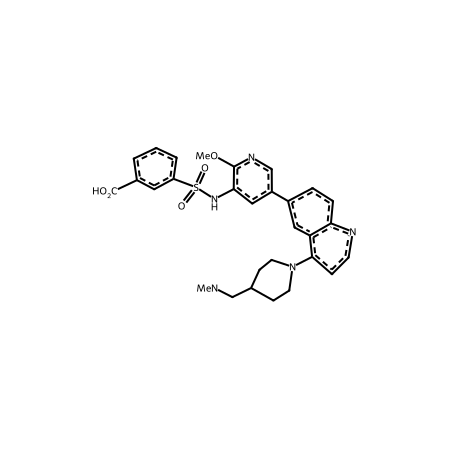 CNCC1CCN(c2ccnc3ccc(-c4cnc(OC)c(NS(=O)(=O)c5cccc(C(=O)O)c5)c4)cc23)CC1